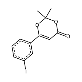 CC1(C)OC(=O)C=C(c2cccc(I)c2)O1